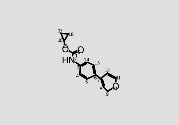 O=C(Nc1ccc(C2=CCOC=C2)cc1)OC1CC1